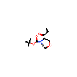 CCC(=O)[C@@H]1COCCN1C(=O)OC(C)(C)C